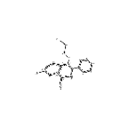 O=c1[nH]c(-c2ccccc2)c(OCCI)c2ccc(F)cc12